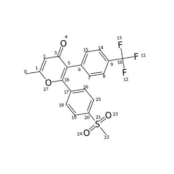 Cc1cc(=O)c(-c2ccc(C(F)(F)F)cc2)c(-c2ccc(S(C)(=O)=O)cc2)o1